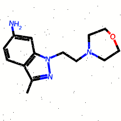 Cc1nn(CCN2CCOCC2)c2cc(N)ccc12